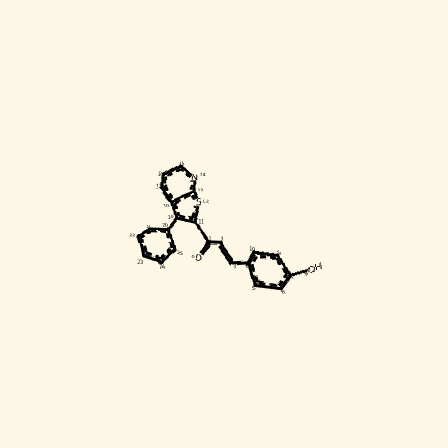 O=C(/C=C/c1ccc(O)cc1)c1sc2ncccc2c1-c1ccccc1